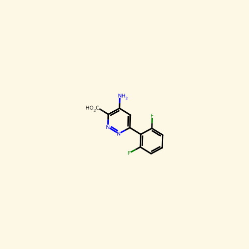 Nc1cc(-c2c(F)cccc2F)nnc1C(=O)O